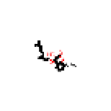 CC(=O)Oc1cccc2c(OCC=C(C)CCC=C(C)C)c(O)c(=O)oc12